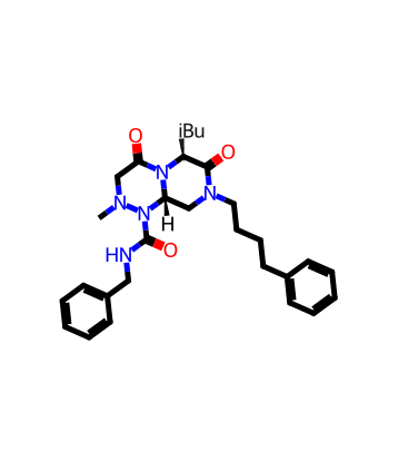 CCC(C)[C@H]1C(=O)N(CCCCc2ccccc2)C[C@H]2N1C(=O)CN(C)N2C(=O)NCc1ccccc1